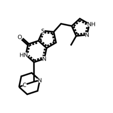 Cc1n[nH]cc1Cc1cc2nc(C3CC4CCN3CC4)[nH]c(=O)c2s1